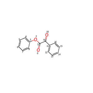 O=C(Oc1ccccc1)C(=O)c1ccccc1